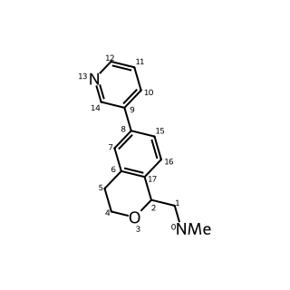 CNCC1OCCc2cc(-c3cccnc3)ccc21